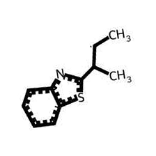 C[CH]C(C)c1nc2ccccc2s1